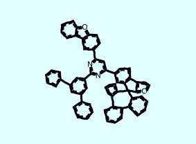 c1ccc(-c2cc(-c3ccccc3)cc(-c3nc(-c4ccc5c(c4)C4(c6ccccc6-c6ccccc6-c6ccccc64)c4ccccc4-5)cc(-c4ccc5oc6ccccc6c5c4)n3)c2)cc1